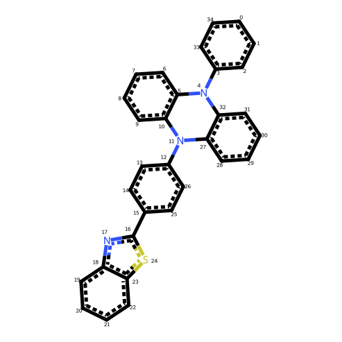 c1ccc(N2c3ccccc3N(c3ccc(-c4nc5ccccc5s4)cc3)c3ccccc32)cc1